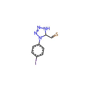 S=CC1NN=NN1c1ccc(I)cc1